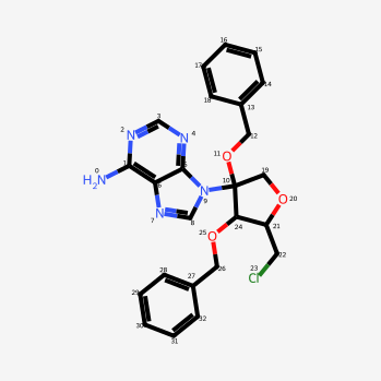 Nc1ncnc2c1ncn2C1(OCc2ccccc2)COC(CCl)C1OCc1ccccc1